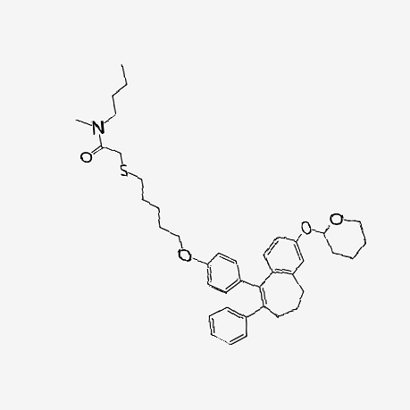 CCCCN(C)C(=O)CSCCCCCOc1ccc(C2=C(c3ccccc3)CCCc3cc(OC4CCCCO4)ccc32)cc1